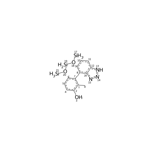 Cc1c(O)cccc1-c1cccc2[nH]nnc12.[SiH3]O[SiH2]O[SiH3]